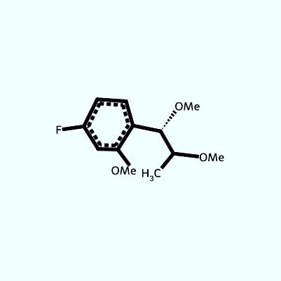 COc1cc(F)ccc1[C@H](OC)C(C)OC